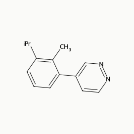 Cc1c(-c2ccnnc2)cccc1C(C)C